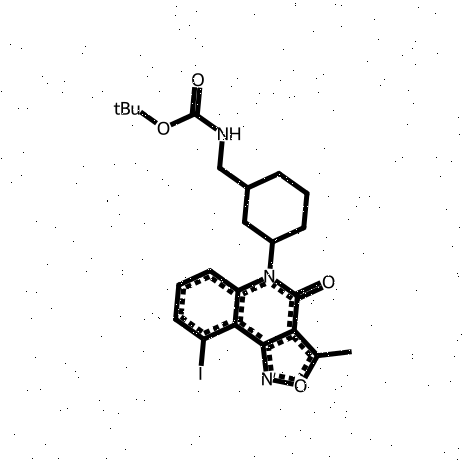 Cc1onc2c1c(=O)n(C1CCCC(CNC(=O)OC(C)(C)C)C1)c1cccc(I)c21